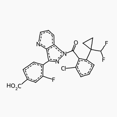 O=C(O)c1ccc(-c2nn(C(=O)c3c(Cl)cccc3C3(C(F)F)CC3)c3cccnc23)c(F)c1